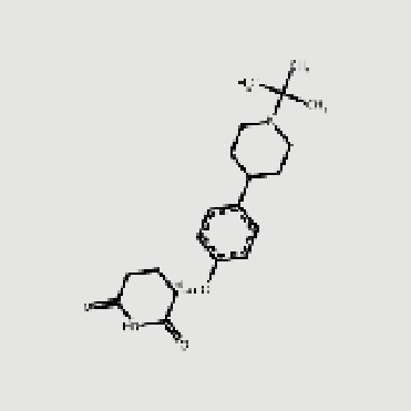 CC(C)(C)N1CCC(c2ccc(O[C@H]3CCC(=O)NC3=O)cc2)CC1